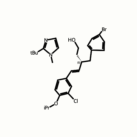 CC(C)Oc1ccc(C=C[C@H](CCO)Cc2ccc(Br)cc2)cc1Cl.Cn1ccnc1C(C)(C)C